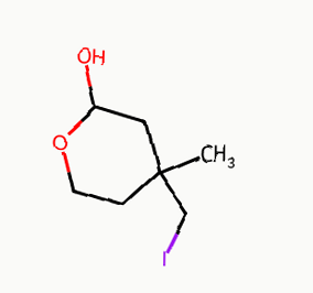 CC1(CI)CCOC(O)C1